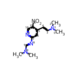 CN(C)C=Cc1cc(N=CN(C)C)ncc1[N+](=O)[O-]